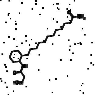 CCCCCCCCCCCC(=O)NC1CCCCC1CCCCCCCCCCCC(N)=O